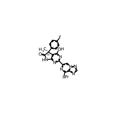 CCCc1nc(-c2nc(O)c3c(n2)NC(=O)[C@@]3(C)c2ccc(F)cc2)cn2ncnc12